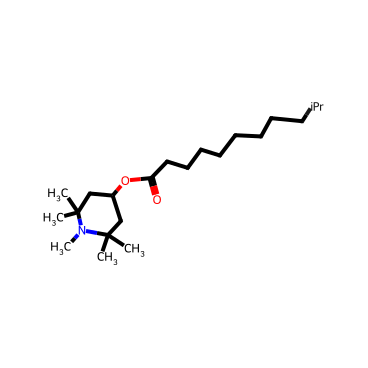 CC(C)CCCCCCCCC(=O)OC1CC(C)(C)N(C)C(C)(C)C1